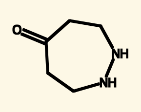 O=C1CCNNCC1